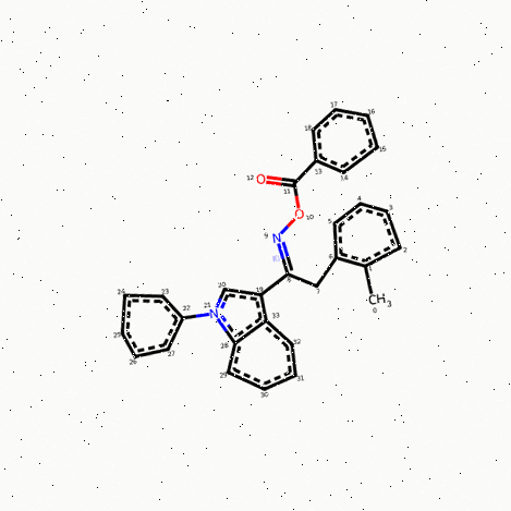 Cc1ccccc1C/C(=N\OC(=O)c1ccccc1)c1cn(-c2ccccc2)c2ccccc12